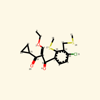 CCOC=C(C(=O)c1ccc(Cl)c(CSC)c1SC)C(=O)C1CC1